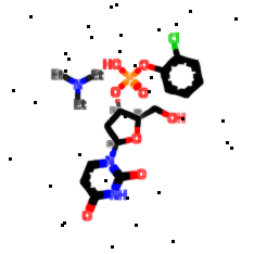 CCN(CC)CC.O=c1ccn([C@H]2C[C@H](OP(=O)(O)Oc3ccccc3Cl)[C@@H](CO)O2)c(=O)[nH]1